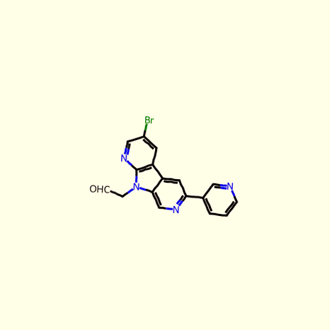 O=CCn1c2cnc(-c3cccnc3)cc2c2cc(Br)cnc21